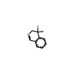 FC1(F)CN=Cc2ccccc21